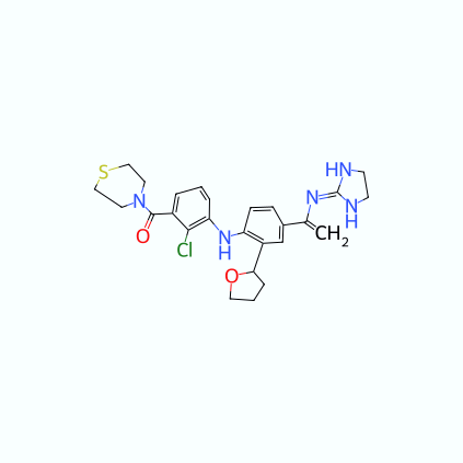 C=C(N=C1NCCN1)c1ccc(Nc2cccc(C(=O)N3CCSCC3)c2Cl)c(C2CCCO2)c1